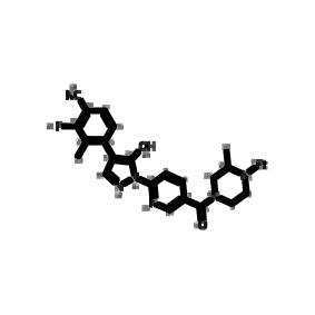 CCN1CCN(C(=O)c2ccc(-n3ncc(-c4ccc(C#N)c(F)c4C)c3O)nc2)CC1C